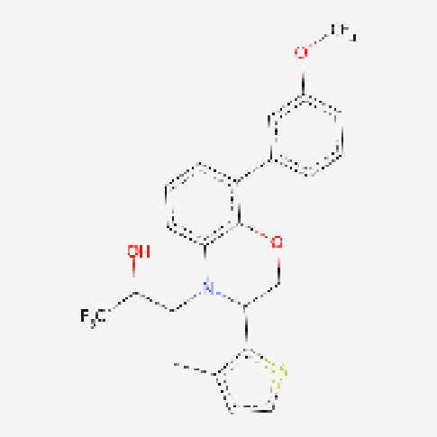 Cc1ccsc1C1COc2c(-c3cccc(OC(F)(F)F)c3)cccc2N1CC(O)C(F)(F)F